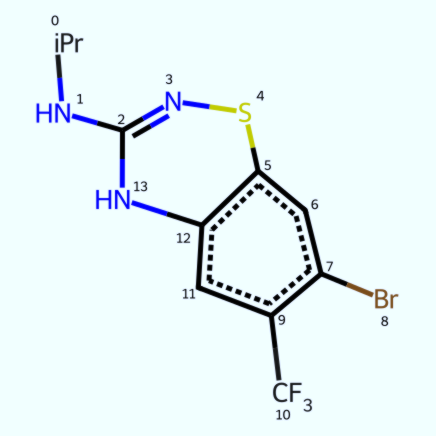 CC(C)NC1=NSc2cc(Br)c(C(F)(F)F)cc2N1